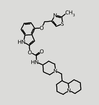 Cc1nc(COc2cccc3[nH]c(OC(=O)NC4CCN(CC5CCCN6CCCCC56)CC4)cc23)cs1